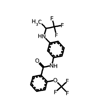 CC(Nc1cccc(NC(=O)c2ccccc2OC(F)(F)F)c1)C(F)(F)F